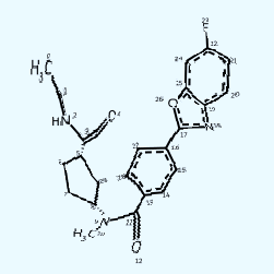 CCNC(=O)[C@H]1CC[C@@H](N(C)C(=O)c2ccc(-c3nc4ccc(F)cc4o3)cc2)C1